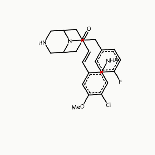 COc1cc(/C=C/C(=O)N2C3CNCC2CN(Cc2ccc(F)cc2)C3)c(NC(C)=O)cc1Cl